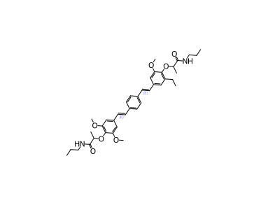 CCCNC(=O)C(C)Oc1c(CC)cc(/C=C/c2ccc(/C=C/c3cc(OC)c(OC(C)C(=O)NCCC)c(OC)c3)cc2)cc1OC